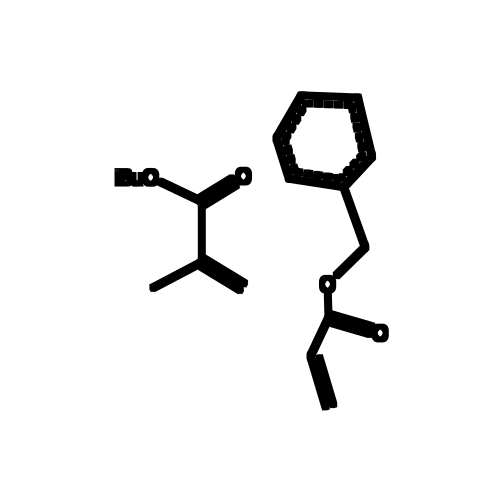 C=C(C)C(=O)OCC(C)C.C=CC(=O)OCc1ccccc1